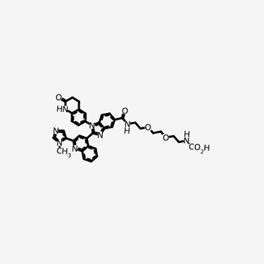 Cn1cncc1-c1cc(-c2nc3cc(C(=O)NCCOCCOCCNC(=O)O)ccc3n2-c2ccc3c(c2)CCC(=O)N3)c2ccccc2n1